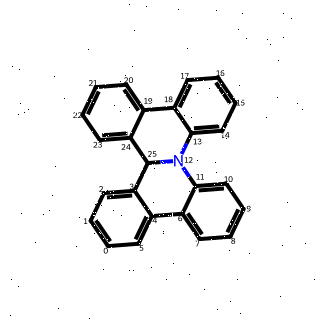 c1ccc2c(c1)-c1ccccc1N1c3ccccc3-c3ccccc3C21